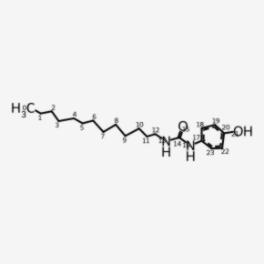 CCCCCCCCCCCCCNC(=O)Nc1ccc(O)cc1